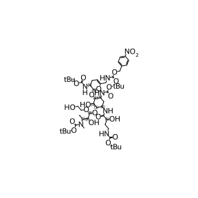 C[C@@H]([C@@H](O)[C@H](OCCO)O[C@@H]1[C@@H](O)[C@H](O[C@H]2OC(CNC(=O)OCc3ccc([N+](=O)[O-])cc3)=CC[C@H]2NC(=O)OC(C)(C)C)[C@@H](NC(=O)OC(C)(C)C)C[C@H]1NC(=O)[C@@H](O)CCNC(=O)OC(C)(C)C)N(C)C(=O)OC(C)(C)C